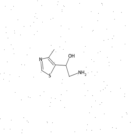 Cc1ncsc1C(O)CN